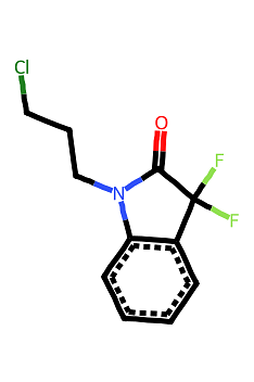 O=C1N(CCCCl)c2ccccc2C1(F)F